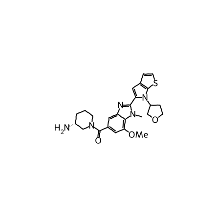 COc1cc(C(=O)N2CCC[C@@H](N)C2)cc2nc(-c3cc4ccsc4n3C3CCOC3)n(C)c12